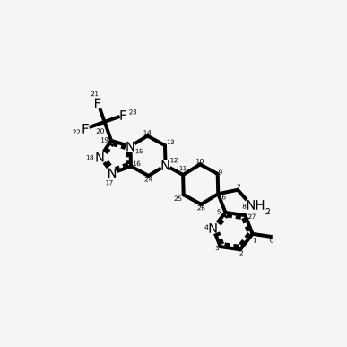 Cc1ccnc(C2(CN)CCC(N3CCn4c(nnc4C(F)(F)F)C3)CC2)c1